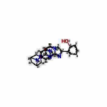 Oc1ccccc1-c1cn2ccc(N3CC4CC(C3)N4c3ccncc3)nc2n1